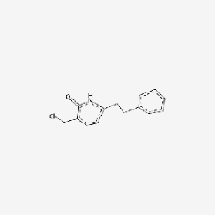 O=c1[nH]c(CCc2ccccc2)ccc1CCl